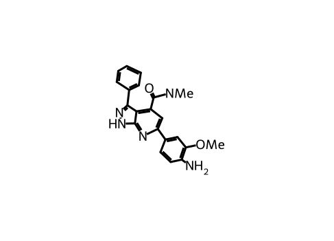 CNC(=O)c1cc(-c2ccc(N)c(OC)c2)nc2[nH]nc(-c3ccccc3)c12